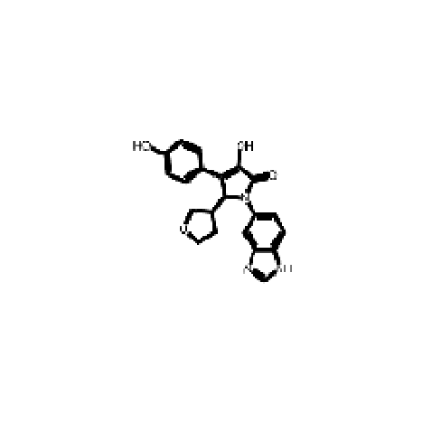 O=C1C(O)=C(c2ccc(O)cc2)C(C2CCOC2)N1c1ccc2[nH]cnc2c1